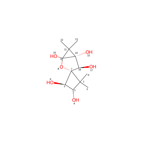 CC1(C)C(O)[C@@H](O)[C@]12OC1(O)C(C)(C)[C@@]1(O)[C@H]2O